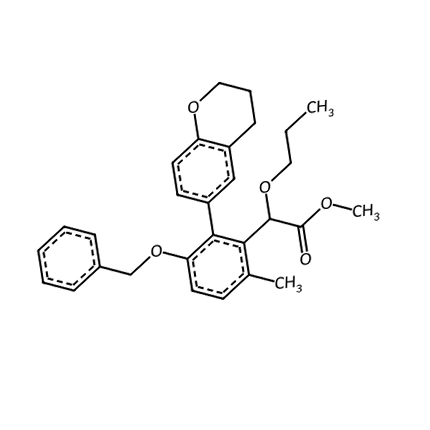 CCCOC(C(=O)OC)c1c(C)ccc(OCc2ccccc2)c1-c1ccc2c(c1)CCCO2